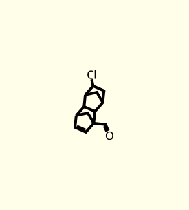 O=CC12C=CC(C1)C1C3CC(CC3Cl)C12